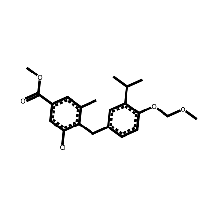 COCOc1ccc(Cc2c(C)cc(C(=O)OC)cc2Cl)cc1C(C)C